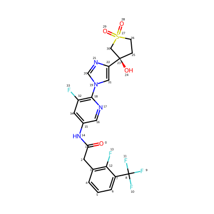 O=C(Cc1cccc(C(F)(F)F)c1F)Nc1cnc(-n2cnc([C@@]3(O)CCS(=O)(=O)C3)c2)c(F)c1